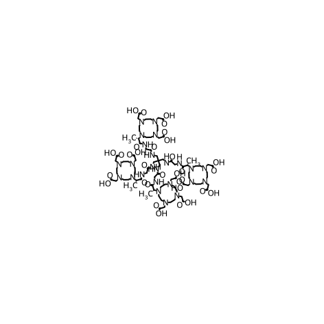 C[C@H](C(=O)NCC(=O)NCC(CNC(=O)CNC(=O)[C@H](C)N1CCN(CC(=O)O)CCN(CC(=O)O)CCN(CC(=O)O)CC1)(CNC(=O)CNC(=O)[C@H](C)N1CCN(CC(=O)O)CCN(CC(=O)O)CCN(CC(=O)O)CC1)CNC(=O)CNC(=O)[C@H](C)N1CCN(CC(=O)O)CCN(CC(=O)O)CCN(CC(=O)O)CC1)N1CCN(CC(=O)O)CCN(CC(=O)O)CCN(CC(=O)O)CC1